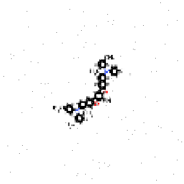 Cc1ccc(N(c2ccc3cc4c(cc3c2)oc2c(C#N)c3oc5cc6cc(N(c7ccc(C)cc7)c7cc(C)ccc7C)ccc6cc5c3cc24)c2cc(C)ccc2C)cc1